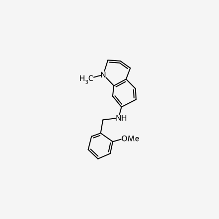 COc1ccccc1CNc1ccc2c(c1)N(C)C=C=C2